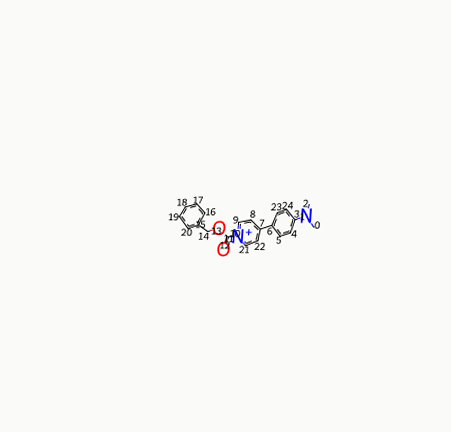 CN(C)c1ccc(-c2cc[n+](C(=O)OCc3ccccc3)cc2)cc1